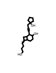 OCCC/C=C1/CC2C1CCC(O)C2C#CCC1(O)CCCC1